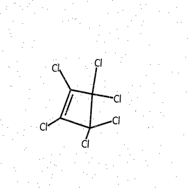 ClC1=C(Cl)C(Cl)(Cl)C1(Cl)Cl